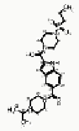 CCCS(=O)(=O)N1CCN(C(=O)c2cc3cc(C(=O)N4CCN(C(C)C)CC4)ccc3[nH]2)CC1